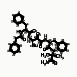 CC[C@H](C)C(NC(=O)[C@H](Cc1ccccc1)NC(=O)Cc1ccccc1)C(=O)C(=O)N[C@@H](Cc1ccccc1)C(=O)NC(C)(C)C(N)=O